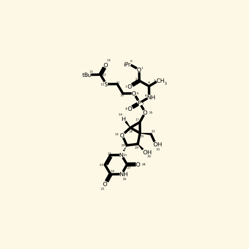 CC(C)OC(=O)C(C)NP(=O)(OCCSC(=O)C(C)(C)C)OC1[C@H]2O[C@@H](n3ccc(=O)[nH]c3=O)[C@H](O)[C@@]12CO